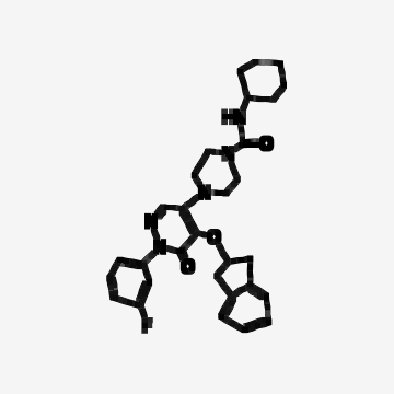 O=C(NC1CCCCC1)N1CCN(c2cnn(-c3cccc(F)c3)c(=O)c2OC2Cc3ccccc3C2)CC1